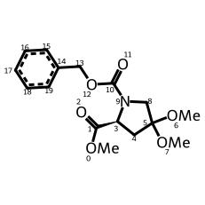 COC(=O)[C@@H]1CC(OC)(OC)CN1C(=O)OCc1ccccc1